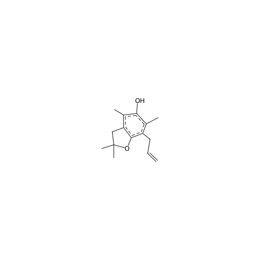 C=CCc1c(C)c(O)c(C)c2c1OC(C)(C)C2